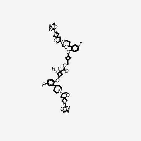 CC1(C(=O)OCC2CC(Oc3ccc(F)cc3C3CCN([C@@H]4COC5(C4)CN(c4nnco4)C5)CC3)C2)CC(Oc2ccc(F)cc2C2CCN([C@@H]3COC4(C3)CN(c3nnco3)C4)CC2)C1